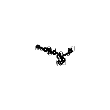 Cc1cc(OCCCc2c3n(c4c(-c5c(C)nn(C)c5C)c(Cl)ccc24)CCCN(Cc2ccc(C(=O)NS(=O)(=O)c4ccc(OCc5cccnc5)cc4)cc2)C3=O)cc(C)c1Cl